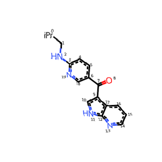 CC(C)CNc1ccc(C(=O)c2c[nH]c3ncccc23)cn1